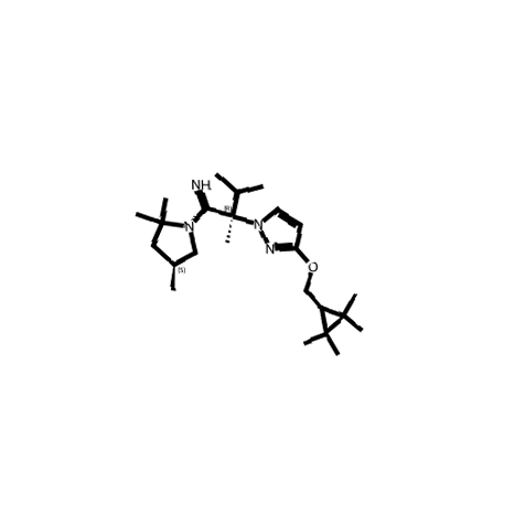 CC(C)[C@](C)(C(=N)N1C[C@@H](C)CC1(C)C)n1ccc(OCC2C(C)(C)C2(C)C)n1